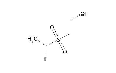 CC(F)S(=O)(=O)CCO